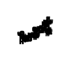 CC(=O)Nc1cc2nc(-c3ccnc(C(=O)N4CCN([C@H](c5ccccc5)c5nnn(C(F)F)n5)CC4)c3)oc2cn1